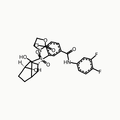 O=C(Nc1ccc(F)c(F)c1)c1ccc(Cl)c(S(=O)(=O)[C@@H]2CC3CC[C@@H](C2)[C@@]3(O)C(O)CN2CCOC2=O)c1